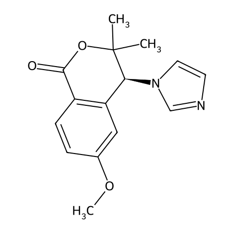 COc1ccc2c(c1)[C@H](n1ccnc1)C(C)(C)OC2=O